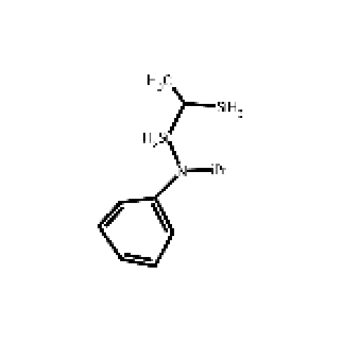 CC([SiH3])[SiH2]N(c1ccccc1)C(C)C